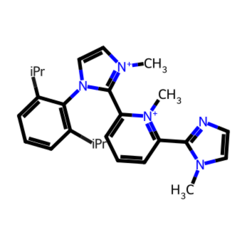 CC(C)c1cccc(C(C)C)c1-n1cc[n+](C)c1-c1cccc(-c2nccn2C)[n+]1C